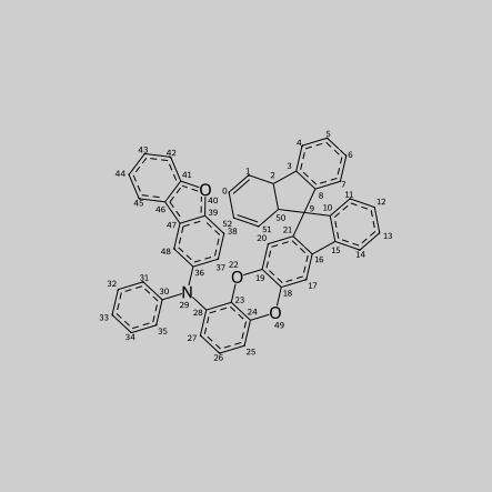 C1=CC2c3ccccc3C3(c4ccccc4-c4cc5c(cc43)Oc3c(cccc3N(c3ccccc3)c3ccc4oc6ccccc6c4c3)O5)C2C=C1